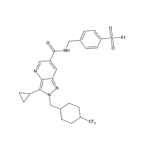 CCS(=O)(=O)c1ccc(CNC(=O)c2cnc3c(C4CC4)n(CC4CCC(C(F)(F)F)CC4)nc3c2)cc1